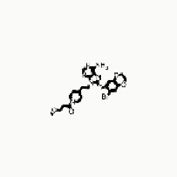 COCCC(=O)N1CCC(CCn2c(Sc3cc4c(cc3Br)OCCO4)nc3c(N)ncnc32)CC1